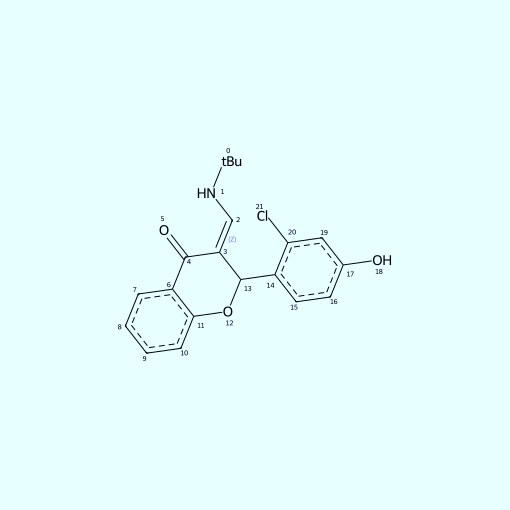 CC(C)(C)N/C=C1\C(=O)c2ccccc2OC1c1ccc(O)cc1Cl